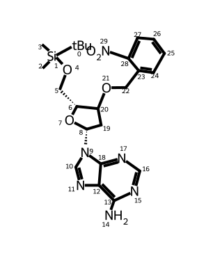 CC(C)(C)[Si](C)(C)OC[C@H]1O[C@@H](n2cnc3c(N)ncnc32)CC1OCc1ccccc1[N+](=O)[O-]